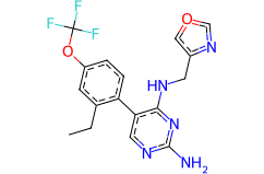 CCc1cc(OC(F)(F)F)ccc1-c1cnc(N)nc1NCc1cocn1